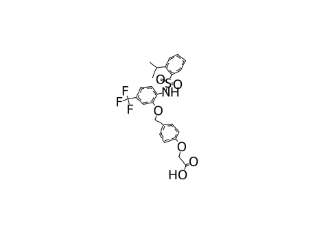 CC(C)c1ccccc1S(=O)(=O)Nc1ccc(C(F)(F)F)cc1OCc1ccc(OCC(=O)O)cc1